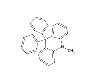 CN1c2ccccc2C(c2ccccc2)(c2ccccc2)c2ccccc21